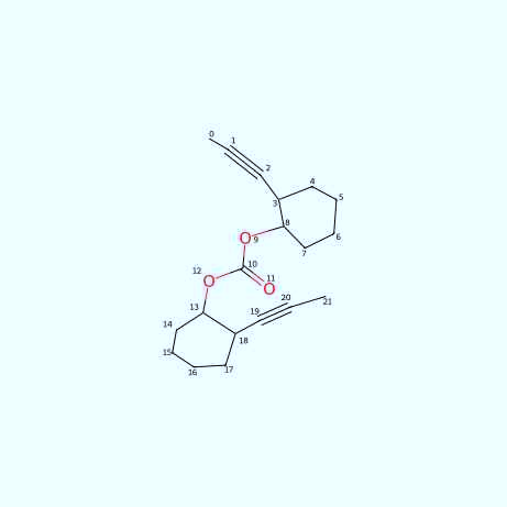 CC#CC1CCCCC1OC(=O)OC1CCCCC1C#CC